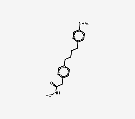 CC(=O)Nc1ccc(CCCCc2ccc(CC(=O)NO)cc2)cc1